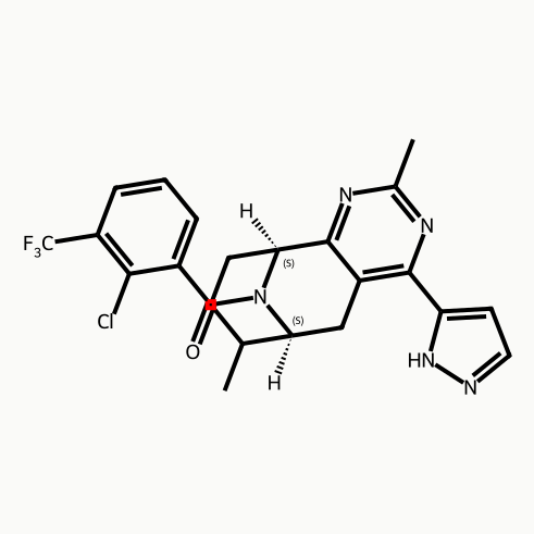 Cc1nc(-c2ccn[nH]2)c2c(n1)[C@@H]1CCC(C)[C@H](C2)N1C(=O)c1cccc(C(F)(F)F)c1Cl